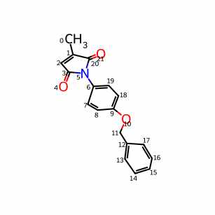 CC1=CC(=O)N(c2ccc(OCc3ccccc3)cc2)C1=O